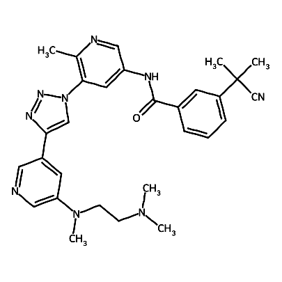 Cc1ncc(NC(=O)c2cccc(C(C)(C)C#N)c2)cc1-n1cc(-c2cncc(N(C)CCN(C)C)c2)nn1